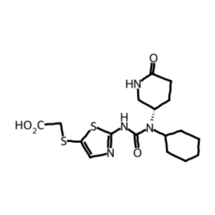 O=C(O)CSc1cnc(NC(=O)N(C2CCCCC2)[C@H]2CCC(=O)NC2)s1